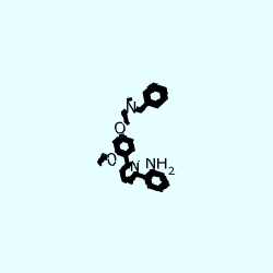 CCOc1cc(OCCN(C)Cc2ccccc2)ccc1-c1cccc(-c2ccccc2N)n1